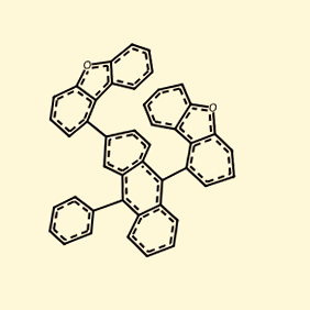 c1ccc(-c2c3ccccc3c(-c3cccc4oc5ccccc5c34)c3ccc(-c4cccc5oc6ccccc6c45)cc23)cc1